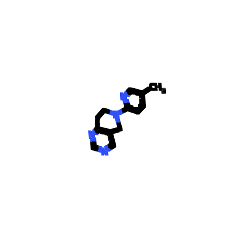 Cc1ccc(N2CCc3ncncc3C2)nc1